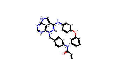 C=CC(=O)Nc1ccc(CN2N=C(Nc3ccc(Oc4ccccc4)cc3)c3c[nH]c4ncnc2c34)cc1